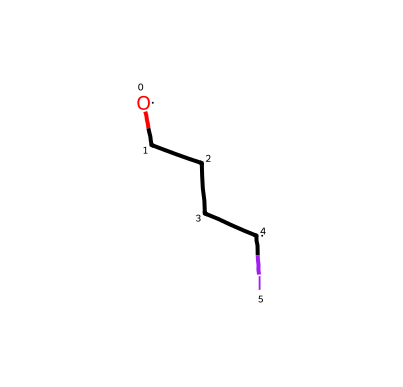 [O]CCC[CH]I